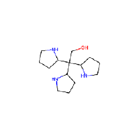 OCC(C1CCCN1)(C1CCCN1)C1CCCN1